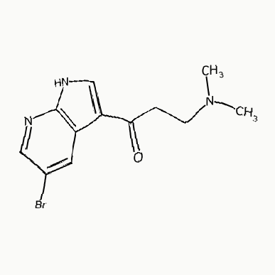 CN(C)CCC(=O)c1c[nH]c2ncc(Br)cc12